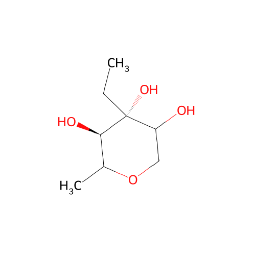 CC[C@@]1(O)C(O)COC(C)[C@H]1O